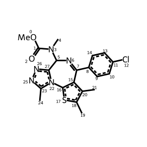 COC(=O)N(C)C1N=C(c2ccc(Cl)cc2)c2c(sc(C)c2C)-n2c(C)nnc21